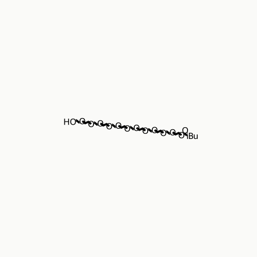 CCC(C)C(=O)OCCOCCOCCOCCOCCOCCOCCOCCOCCOCCOCCOCCO